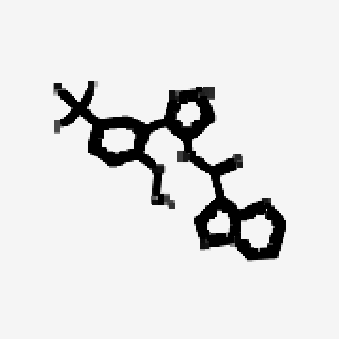 COc1ccc(C(F)(F)F)cc1-c1n[nH]cc1NC(=O)c1cnn2cccnc12